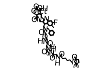 CC[C@@]1(O)C(=O)OCc2c1cc1n(c2=O)Cc2c-1nc1cc(F)c(C)cc1c2CN(Cc1ccccc1)C(=O)COCNC(=O)CNC(=O)[C@H](C)NC(=O)CNC(=O)CCCCCN1C(=O)C=CC1=O